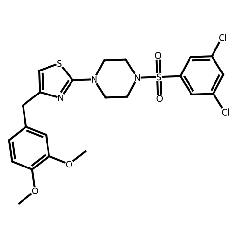 COc1ccc(Cc2csc(N3CCN(S(=O)(=O)c4cc(Cl)cc(Cl)c4)CC3)n2)cc1OC